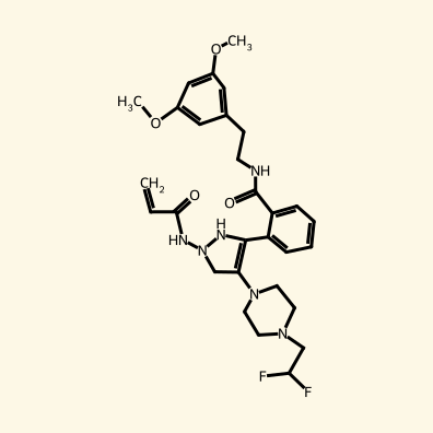 C=CC(=O)NN1CC(N2CCN(CC(F)F)CC2)=C(c2ccccc2C(=O)NCCc2cc(OC)cc(OC)c2)N1